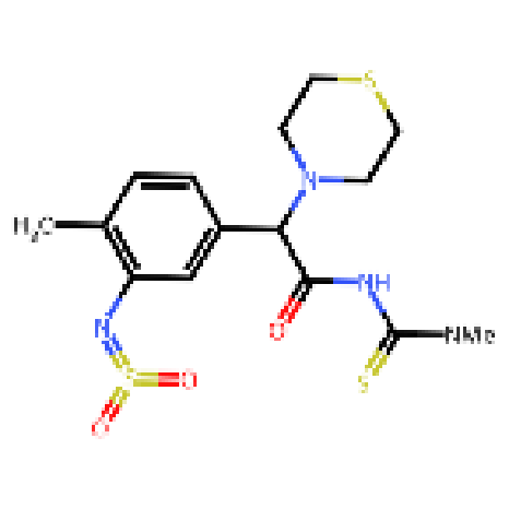 CNC(=S)NC(=O)C(c1ccc(C)c(N=S(=O)=O)c1)N1CCSCC1